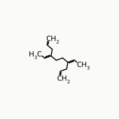 C=CC/C(=C\C)CC/C(=C/C)CC=C